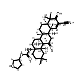 CC1(C)CC[C@]2(NC(=O)OC3CCOC3)CC[C@]3(C)[C@H](C(=O)C[C@@H]4[C@@]5(C)C=C(C#N)C(=O)C(C)(C)[C@@H]5CC[C@]43C)[C@@H]2C1